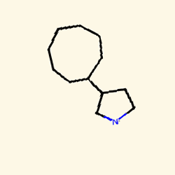 C1CCCC(C2CC[N]C2)CCC1